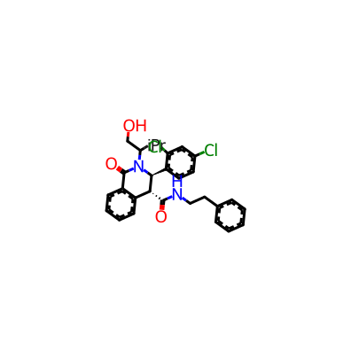 CC(C)C(CO)N1C(=O)c2ccccc2[C@@H](C(=O)NCCc2ccccc2)[C@@H]1c1ccc(Cl)cc1Cl